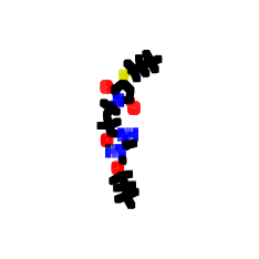 CC(NCOC(C)(C)C(C)(C)C(C)(C)C)NC(=O)C(C)(C)CC(C)(C)N1C(=O)CC(SC(C)(C)C(C)(C)C(C)(C)C)C1=O